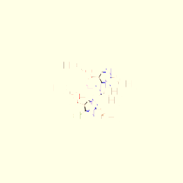 CCOC(=O)c1cnc(SC)nc1Cl.CCOC(=O)c1cnc(SC)nc1NC(C)(C)C